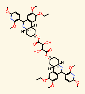 CCOc1cc2c(cc1OC)C(c1ccc(OC)nc1OC)=N[C@H]1CC[C@H](OC(=O)C(O)C(O)C(=O)O[C@H]3CC[C@@H]4N=C(c5ccc(OC)nc5OC)c5cc(OC)c(OCC)cc5[C@@H]4C3)C[C@@H]21